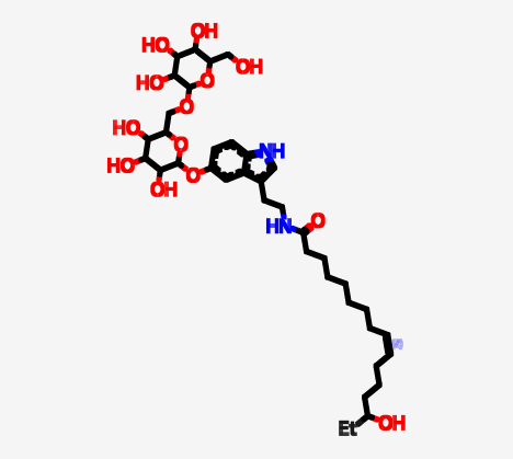 CCC(O)CCC/C=C\CCCCCCCC(=O)NCCc1c[nH]c2ccc(OC3OC(COC4OC(CO)C(O)C(O)C4O)C(O)C(O)C3O)cc12